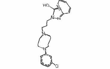 OC1N(CCCN2CCN(c3cccc(Cl)c3)CC2)N=C2C=CC=CN21